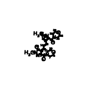 CN1N=C(C(=O)N2CCOCC2)/C(=C/C=C/c2cn(C)nc2C(=O)N2CCOCC2)C1=O